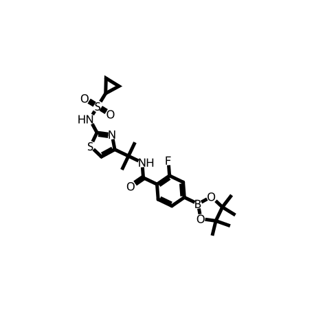 CC(C)(NC(=O)c1ccc(B2OC(C)(C)C(C)(C)O2)cc1F)c1csc(NS(=O)(=O)C2CC2)n1